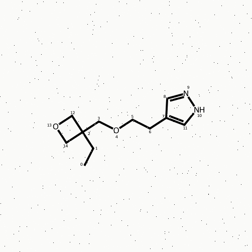 CCC1(COCCc2cn[nH]c2)COC1